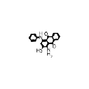 Nc1c(S)cc(Nc2ccccc2)c2c1C(=O)c1ccccc1C2=O